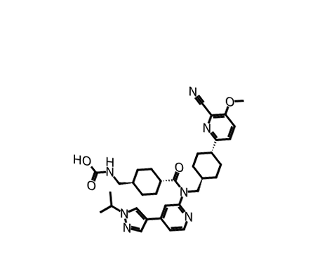 COc1ccc([C@H]2CC[C@H](CN(c3cc(-c4cnn(C(C)C)c4)ccn3)C(=O)[C@H]3CC[C@H](CNC(=O)O)CC3)CC2)nc1C#N